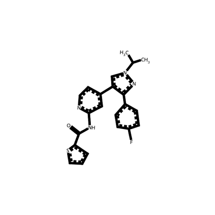 CC(C)n1cc(-c2ccnc(NC(=O)c3cccs3)c2)c(-c2ccc(F)cc2)n1